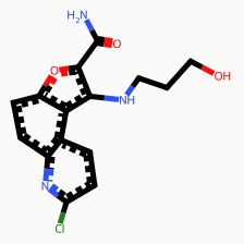 NC(=O)c1oc2ccc3nc(Cl)ccc3c2c1NCCCO